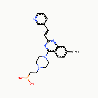 COc1ccc2c(N3CCN(CCP(O)O)CC3)nc(/C=C/c3cccnc3)nc2c1